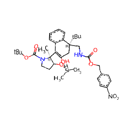 C[SiH](C)OC1CCN(C(=O)OC(C)(C)C)[C@@]1(C)C1=C(O)C[C@@](CNC(=O)OCc2ccc([N+](=O)[O-])cc2)(C(C)(C)C)c2ccccc21